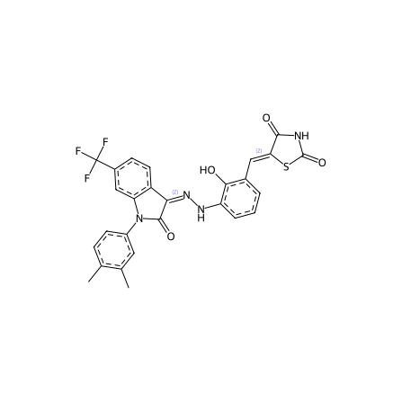 Cc1ccc(N2C(=O)/C(=N\Nc3cccc(/C=C4\SC(=O)NC4=O)c3O)c3ccc(C(F)(F)F)cc32)cc1C